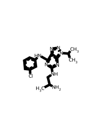 CC(N)CNc1nc(Nc2cccc(Cl)c2)c2nnn(C(C)C)c2n1